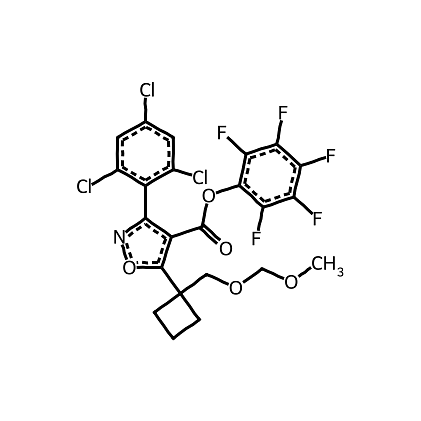 COCOCC1(c2onc(-c3c(Cl)cc(Cl)cc3Cl)c2C(=O)Oc2c(F)c(F)c(F)c(F)c2F)CCC1